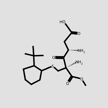 COC(=O)[C@@](N)(CSC1CCCCC1C(C)(C)C)C(=O)[C@@H](N)CC(=O)O